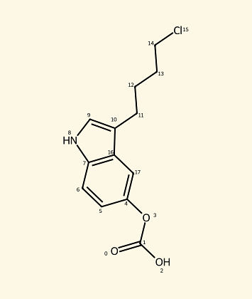 O=C(O)Oc1ccc2[nH]cc(CCCCCl)c2c1